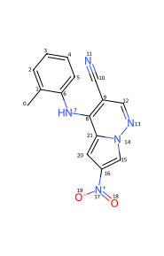 Cc1ccccc1Nc1c(C#N)cnn2cc([N+](=O)[O-])cc12